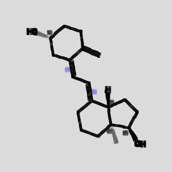 C=C1CC[C@@H](O)C/C1=C/C=C1\CCC[C@]2(C)[C@H](O)CC[C@@H]12